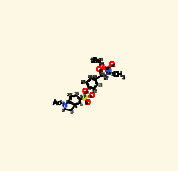 CC(=O)N1CCc2cc(S(=O)(=O)Oc3ccc(C(O)CN(C)C(=O)OC(C)(C)C)cc3)ccc21